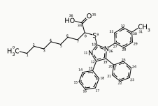 CCCCCCCCC(Sc1nc(-c2ccccc2)c(-c2ccccc2)n1-c1ccc(C)cc1)C(=O)O